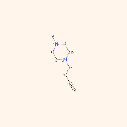 C#CCCN1CCN(C)CC1